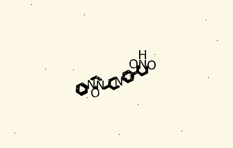 O=C1CCC(c2ccc(N3CCC(CN4CCCN(c5ccccc5)C4=O)CC3)cc2)C(=O)N1